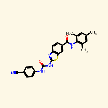 Cc1cc(C)c(NC(=O)c2ccc3nc(NC(=O)Nc4ccc(C#N)cc4)sc3c2)c(C)c1